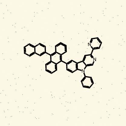 C1=C=Cc2c(c(-c3ccc4ccccc4c3)c3ccccc3c2-c2ccc3c(c2)c2cc(-c4ccccn4)ncc2n3-c2ccccc2)C=1